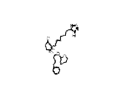 O=C1CC[C@@H](C(CCCc2ccccc2)OC2CCCCO2)[C@@H]1CCCCCCc1nnn[nH]1